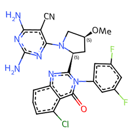 CO[C@H]1C[C@@H](c2nc3cccc(Cl)c3c(=O)n2-c2cc(F)cc(F)c2)N(c2nc(N)nc(N)c2C#N)C1